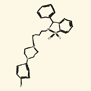 O=S1(=O)c2ccccc2C(c2ccccc2)N1CCCN1CCN(c2ccc(F)cc2)CC1